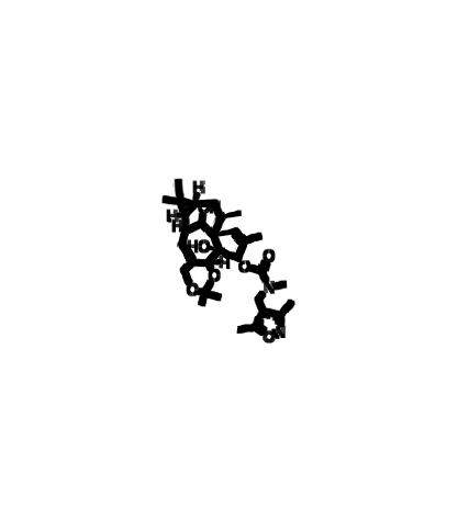 CC1=C[C@]23C(O)[C@@H](C=C4COC(C)(C)O[C@H]4[C@]2(O)[C@H]1OC(=O)N(C)Cc1c(C)noc1C)[C@H]1[C@@H](C[C@H]3C)C1(C)C